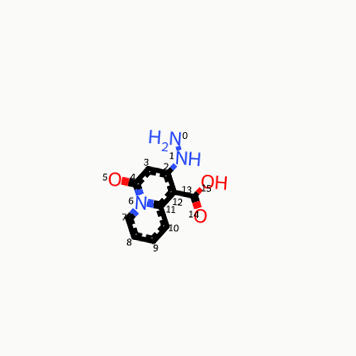 NNc1cc(=O)n2ccccc2c1C(=O)O